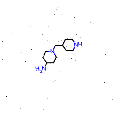 NC1CCN(CC2CCNCC2)CC1